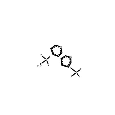 F[B-](F)(F)F.F[B-](F)(F)F.[Pd+2].c1ccncc1.c1ccncc1